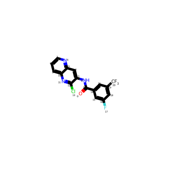 O=C(Nc1cc2ncccc2nc1Cl)c1cc(F)cc(C(F)(F)F)c1